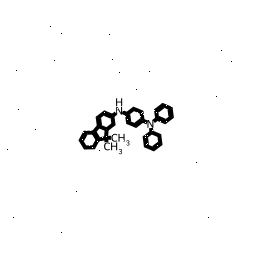 CC1(C)C2=C(C=CCC2)C2=CC=C(NC3=CC=C(N(c4ccccc4)C4C=CC=CC4)CC3)CC21